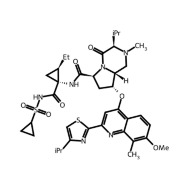 CC[C@@H]1C[C@]1(NC(=O)[C@@H]1C[C@@H](Oc2cc(-c3nc(C(C)C)cs3)nc3c(C)c(OC)ccc23)[C@H]2CN(C)[C@H](C(C)C)C(=O)N21)C(=O)NS(=O)(=O)C1CC1